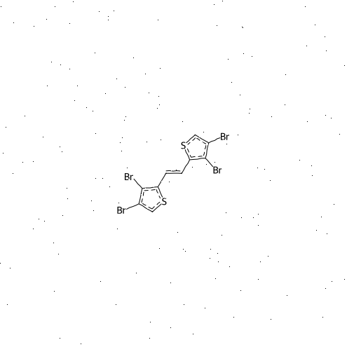 Brc1csc(C=Cc2scc(Br)c2Br)c1Br